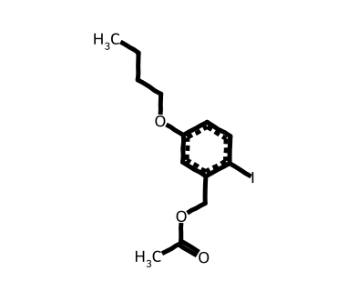 CCCCOc1ccc(I)c(COC(C)=O)c1